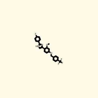 COc1cc(OCc2ccc(C(F)(F)F)cc2)ccc1-c1c[nH]c(-c2ccc(F)cc2)n1